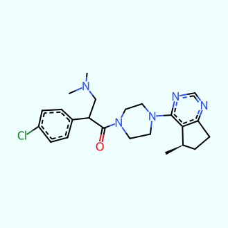 C[C@@H]1CCc2ncnc(N3CCN(C(=O)C(CN(C)C)c4ccc(Cl)cc4)CC3)c21